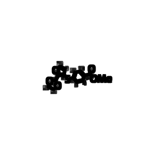 COC(=O)c1ccc(Sc2ccoc2C2OCCO2)cc1